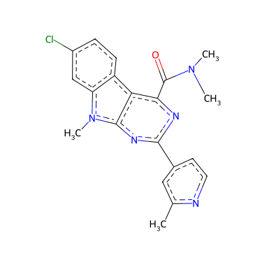 Cc1cc(-c2nc(C(=O)N(C)C)c3c4ccc(Cl)cc4n(C)c3n2)ccn1